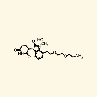 Cl.Cn1c(=O)n(C2CCC(=O)NC2=O)c2cccc(CCOCCOCCN)c21